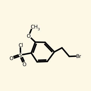 COc1cc(CCBr)ccc1S(=O)(=O)Cl